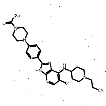 CC(C)(C)C(=O)N1CCN(c2ccc(-c3nc4c(NC5CCN(CCC#N)CC5)c(Br)cnc4[nH]3)cc2)CC1